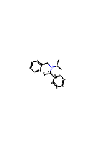 CC(C)N(Cc1ccccc1)[C@H](C)c1ccccc1